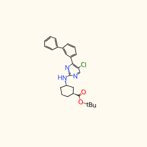 CC(C)(C)OC(=O)[C@H]1CCC[C@@H](Nc2ncc(Cl)c(-c3cccc(-c4ccccc4)c3)n2)C1